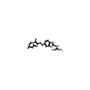 Cc1ccn2c(C)c(CCc3ccc4nc(NC(=N)N)oc4c3)nc2c1